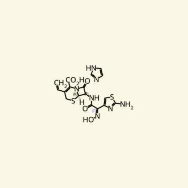 C=CC1=C(C(=O)O)N2C(=O)[C@@H](NC(=O)/C(=N\O)c3csc(N)n3)[C@H]2SC1.c1c[nH]cn1